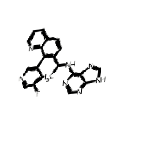 CC(Nc1ncnc2[nH]cnc12)c1ccc2cccnc2c1-c1cncc(F)c1